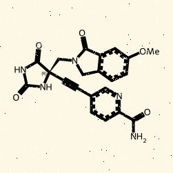 COc1ccc2c(c1)C(=O)N(C[C@@]1(C#Cc3ccc(C(N)=O)nc3)NC(=O)NC1=O)C2